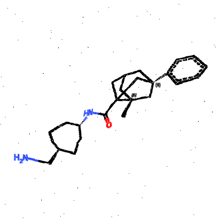 C[C@]12CC3CC1(C(=O)N[C@H]1CC[C@H](CN)CC1)C[C@@](c1ccccc1)(C3)C2